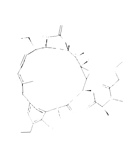 CSCC(=O)N(C)[C@@H](C)C(=O)O[C@H]1CC(=O)N(C)c2cc(cc(CO)c2Cl)C/C(C)=C/C=C/[C@@H](CO)[C@@]2(O)C[C@H](OC(=O)N2)[C@@H](C)[C@@H]2O[C@@]12C